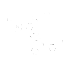 CCCN(CCC)C(=O)c1cc(C(=O)N[C@@H](Cc2cc(F)cc(F)c2)[C@H](O)CNCc2cccc(CC)c2)cc(S(=O)(=O)N(C)CCO)c1